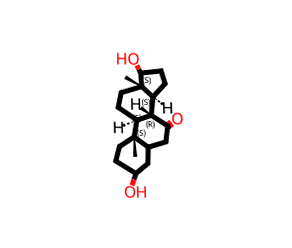 C[C@]12CCC(O)CC1CC(=O)[C@@H]1[C@@H]2CC[C@]2(C)C(O)CC[C@@H]12